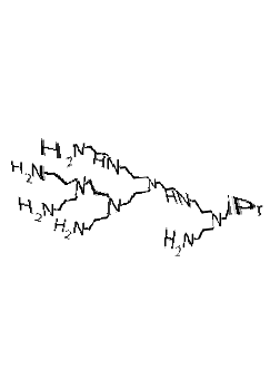 CC(C)CN(CCCN)CCCNCCCN(CCCNCCCN)CCCN(CCCN)CCCN(CCCN)CCCN